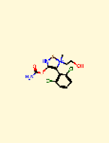 C[N+]1(CCO)SNC(OC(N)=O)=C1c1c(Cl)cccc1Cl